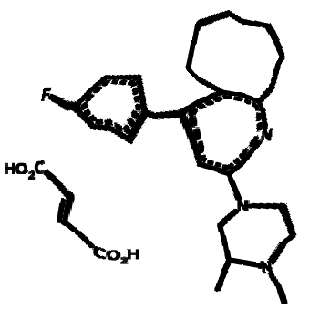 CC1CN(c2cc(-c3ccc(F)cc3)c3c(n2)CCCCCC3)CCN1C.O=C(O)C=CC(=O)O